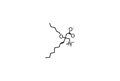 CCCCCCC=CC(CC(=O)[O-])(C[N+](C)(C)C)OCCCCC